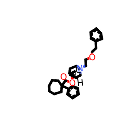 O=C(O[C@H]1C[N+]2(CCOCCc3ccccc3)CCC1CC2)C1(c2ccccc2)CCCCCC1